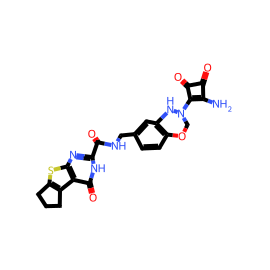 Nc1c(N2COc3ccc(CNC(=O)c4nc5sc6c(c5c(=O)[nH]4)CCC6)cc3N2)c(=O)c1=O